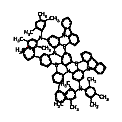 Cc1cc(C)c(N(c2cc3c4c(c2)-n2c5ccccc5c5cccc(c52)B4c2cc4c5c6c2N3c2cc(-c3ccccc3)ccc2B6c2ccc(-c3ccccc3)cc2N5c2cc(N(c3cc(C)c(C)cc3C)c3cc(C)c(C)cc3C)cc3c2B4c2cccc4c5ccccc5n-3c24)c2cc(C)c(C)cc2C)cc1C